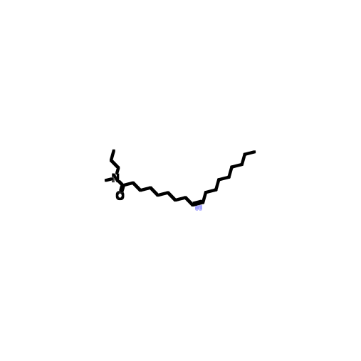 CCCCCCCC/C=C\CCCCCCCC(=O)N(C)CCC